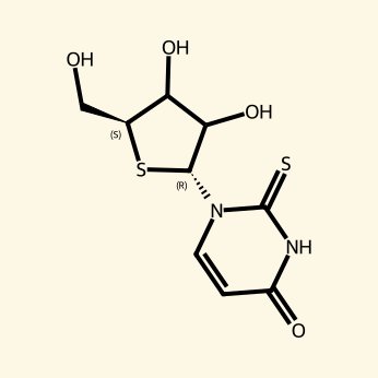 O=c1ccn([C@@H]2S[C@@H](CO)C(O)C2O)c(=S)[nH]1